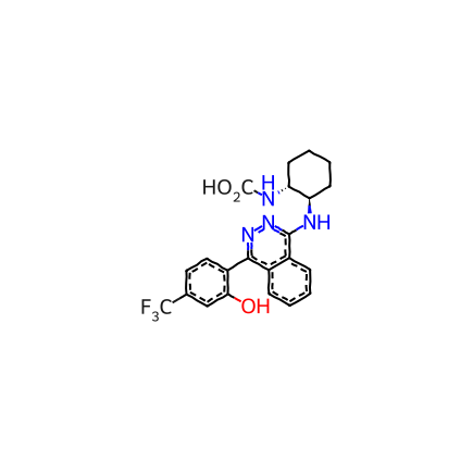 O=C(O)N[C@@H]1CCCC[C@H]1Nc1nnc(-c2ccc(C(F)(F)F)cc2O)c2ccccc12